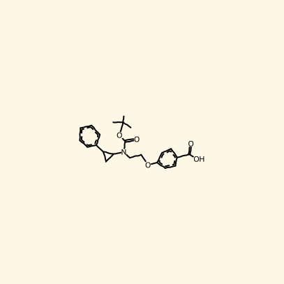 CC(C)(C)OC(=O)N(CCOc1ccc(C(=O)O)cc1)C1CC1c1ccccc1